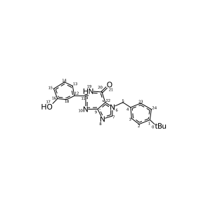 CC(C)(C)c1ccc(Cn2cnc3nc(-c4cccc(O)c4)[nH]c(=O)c32)cc1